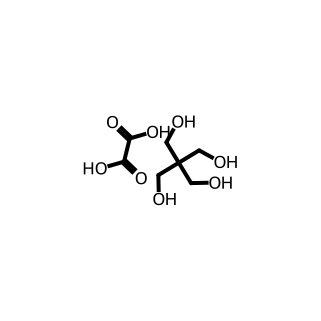 O=C(O)C(=O)O.OCC(CO)(CO)CO